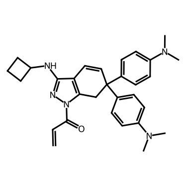 C=CC(=O)n1nc(NC2CCC2)c2c1CC(c1ccc(N(C)C)cc1)(c1ccc(N(C)C)cc1)C=C2